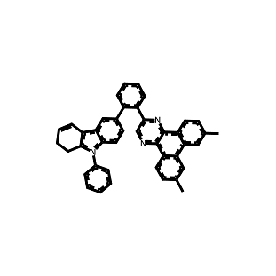 Cc1ccc2c(c1)c1cc(C)ccc1c1nc(-c3ccccc3-c3ccc4c(c3)c3c(n4-c4ccccc4)CCC=C3)cnc21